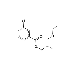 CCOCC(C)C(C)OC(=O)c1cccc(Cl)c1